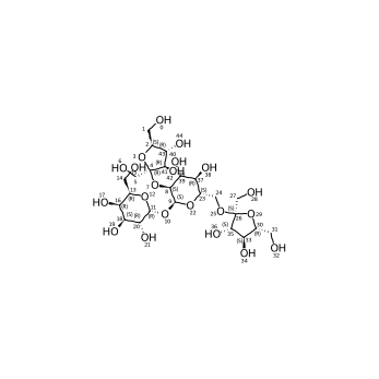 OC[C@@H]1O[C@](CO)(O[C@@H]2[C@H](O[C@H]3O[C@H](CO)[C@H](O)[C@H](O)[C@H]3O)O[C@@H](CO[C@@]3(CO)O[C@H](CO)[C@@H](O)[C@@H]3O)[C@H](O)[C@H]2O)[C@H](O)[C@H]1O